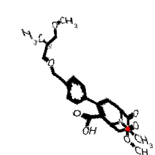 COC[C@H](C)COCc1ccc(C2=C(C(=O)O)C3CN(C)C(=O)C(C2)N3C(=O)OC)cc1